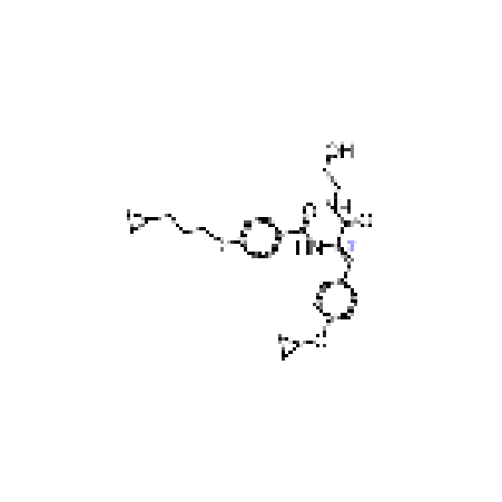 O=C(NCCO)/C(=C/c1ccc(OC2CC2)cc1)NC(=O)c1ccc(OCCCC2CC2)cc1